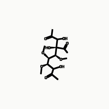 CO[C@H]([C@H](OC)C(O)C(C)=O)[C@H](OC)[C@@](O)(C(C)=O)C(O)C(C)=O